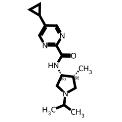 CC(C)N1C[C@@H](C)[C@@H](NC(=O)c2ncc(C3CC3)cn2)C1